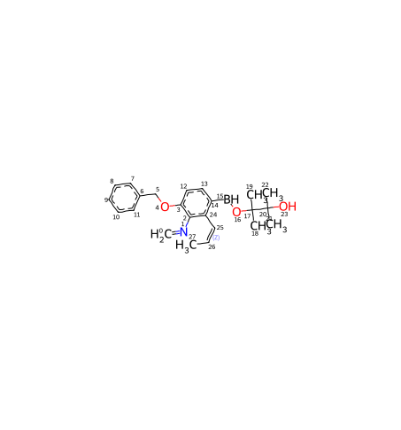 C=Nc1c(OCc2ccccc2)ccc(BOC(C)(C)C(C)(C)O)c1/C=C\C